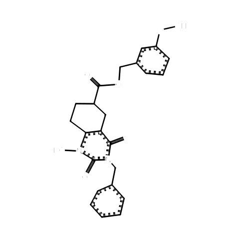 COc1cccc(COC(=O)C2CCc3c(c(=O)n(Cc4ccccc4)c(=O)n3C)C2)c1